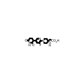 O=C(O)CC1(O)CCN(c2ncc(C3CCC(=O)NC3=O)cc2F)CC1